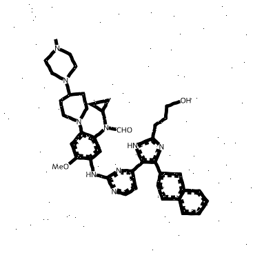 COc1cc(N2CCC(N3CCN(C)CC3)CC2)c(N(C=O)C2CC2)cc1Nc1nccc(-c2[nH]c(CCCO)nc2-c2ccc3ccccc3c2)n1